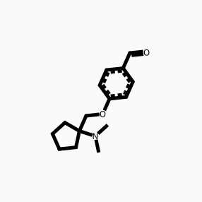 CN(C)C1(COc2ccc(C=O)cc2)CCCC1